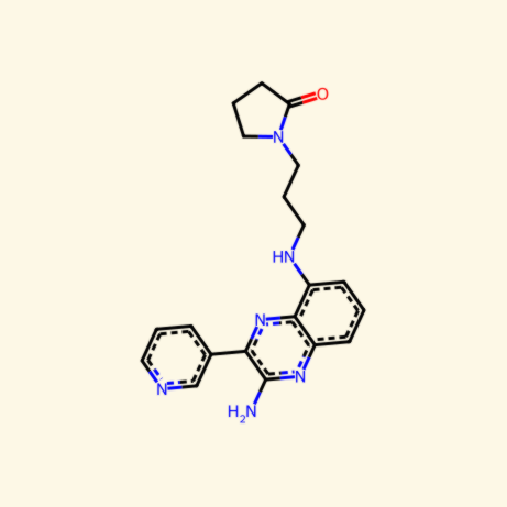 Nc1nc2cccc(NCCCN3CCCC3=O)c2nc1-c1cccnc1